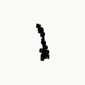 O=C1CCC(N2C(=O)c3ccc(N4CCN(CCC5CCN(c6ccc(Br)nn6)CC5)CC4)cc3C2=O)C(=O)N1